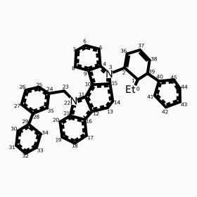 CCC1C(n2c3ccccc3c3c4c(ccc32)c2ccccc2n4Cc2cccc(-c3ccccc3)c2)=CC=CC1c1ccccc1